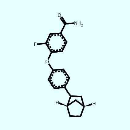 NC(=O)c1ccc(Oc2ccc(C3C[C@@H]4CC[C@H]3C4)cc2)c(F)c1